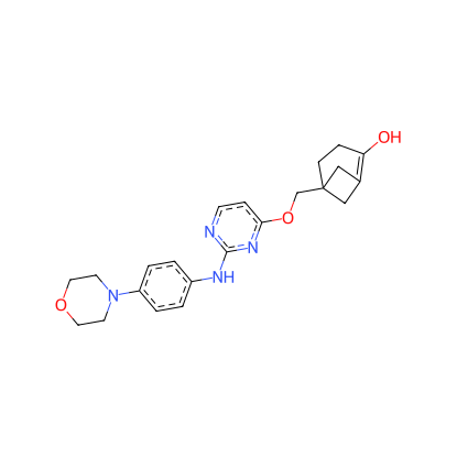 OC1=C2CC(COc3ccnc(Nc4ccc(N5CCOCC5)cc4)n3)(CC1)C2